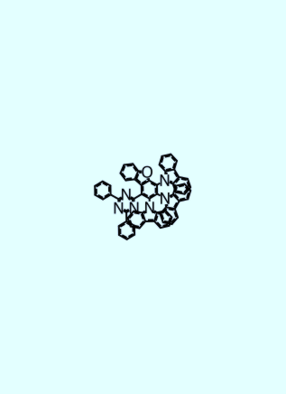 c1ccc(-c2nc(-c3ccccc3)nc(-c3c(-n4c5ccccc5c5ccccc54)c(-n4c5ccccc5c5ccccc54)c(-n4c5ccccc5c5ccccc54)c4oc5ccccc5c34)n2)cc1